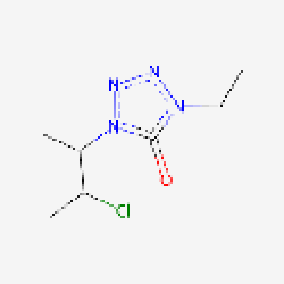 CCn1nnn(C(C)C(C)Cl)c1=O